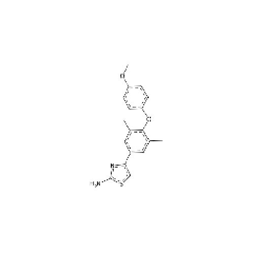 COc1ccc(Oc2c(C)cc(-c3csc(N)n3)cc2C)cc1